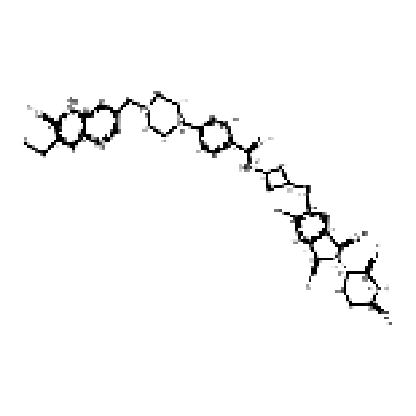 CCc1cc2ncc(CN3CCN(c4ccc(C(=O)NC5CC(Nc6cc7c(cc6F)C(=O)N([C@H]6CCC(=O)NC6=O)C7=O)C5)nc4)CC3)cc2[nH]c1=O